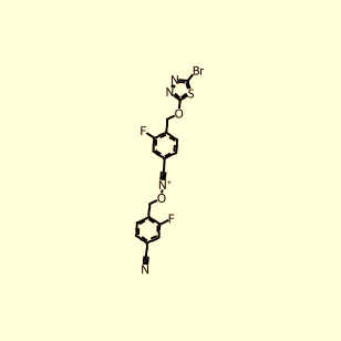 N#Cc1ccc(CO[N+]#Cc2ccc(COc3nnc(Br)s3)c(F)c2)c(F)c1